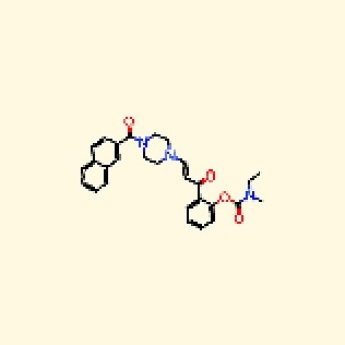 CCN(C)C(=O)Oc1ccccc1C(=O)C=CN1CCN(C(=O)c2ccc3ccccc3c2)CC1